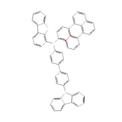 c1ccc(-c2cccc3cccc(-c4ccc(N(c5ccc(-c6ccc(-n7c8ccccc8c8ccccc87)cc6)cc5)c5cccc6c5sc5ccccc56)cc4)c23)cc1